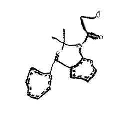 CC(C)(C)N(C(=O)CCl)c1ccccc1C(=O)c1ccccc1